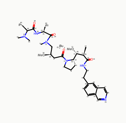 CC[C@H](C)C([C@@H](CC(=O)N1CCC[C@H]1[C@H](OC)[C@@H](C)C(=O)NCCc1ccc2cnccc2c1)OC)N(C)C(=O)[C@@H](NC(=O)C(C(C)C)N(C)C)C(C)C